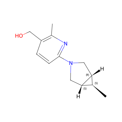 Cc1nc(N2C[C@@H]3[C@@H](C)[C@@H]3C2)ccc1CO